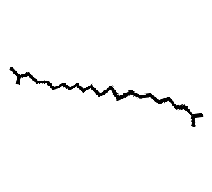 CC(C)CCCCCCCC[CH]CCCCCCCCCCC(C)C